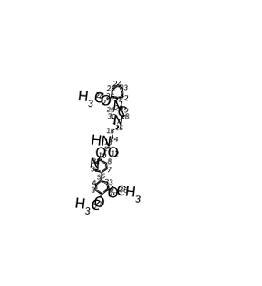 COc1ccc(-c2ccc(OC(=O)NCCCN3CCN(c4ccccc4OC)CC3)nc2)cc1OC